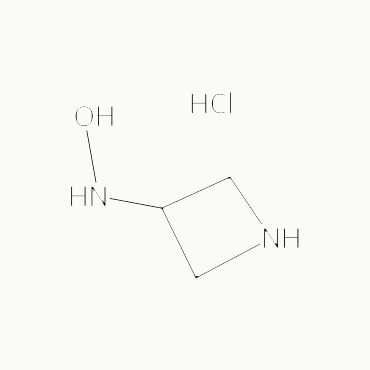 Cl.ONC1CNC1